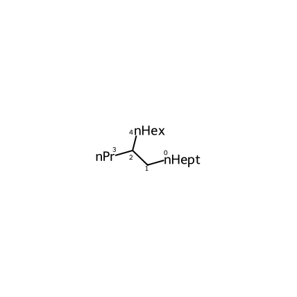 [CH2]CCCCCCCC(CCC)CCCCCC